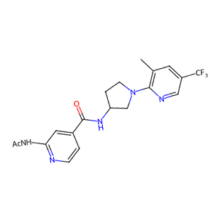 CC(=O)Nc1cc(C(=O)NC2CCN(c3ncc(C(F)(F)F)cc3C)C2)ccn1